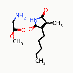 CCCCCC1=C(C)C(=O)NC1=O.COC(=O)CN